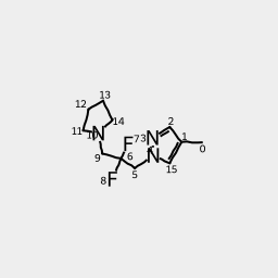 Cc1cnn(CC(F)(F)CN2CCCC2)c1